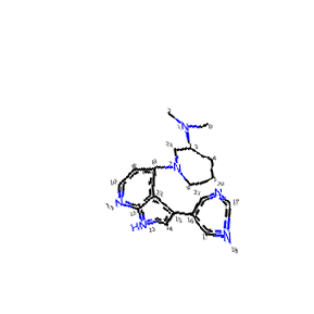 CN(C)[C@H]1CCCN(c2ccnc3[nH]cc(-c4cncnc4)c23)C1